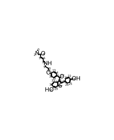 CN(C)C(=O)/C=C/CNCCOc1ccc(C(=O)c2c(-c3ccc(O)cc3)sc3cc(O)ccc23)cc1